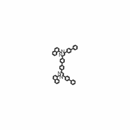 c1ccc(-c2ccc(-c3cc(-c4ccc(-c5ccc(-c6cc(-c7ccc(-c8ccccc8)cc7)nc(-c7cccc8ccccc78)n6)cc5)cc4)nc(-c4cccc5ccccc45)n3)cc2)cc1